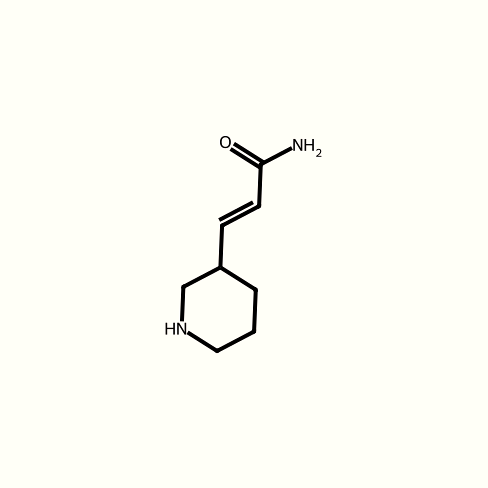 NC(=O)C=CC1CCCNC1